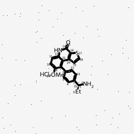 CC[C@H](N)c1ccc(-c2c(OC)ccc3[nH]c(=O)c4sccc4c23)cc1.Cl